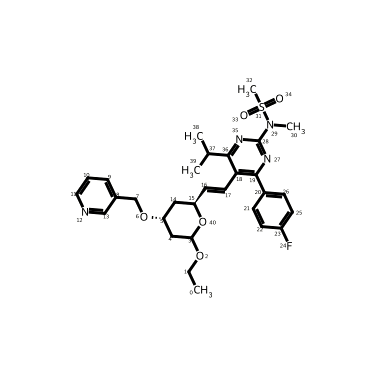 CCOC1C[C@H](OCc2cccnc2)C[C@@H](/C=C/c2c(-c3ccc(F)cc3)nc(N(C)S(C)(=O)=O)nc2C(C)C)O1